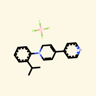 CC(C)c1ccccc1N1C=CC(c2ccncc2)=CC1.F[B-](F)(F)F